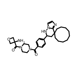 NC1(C(=O)N2CCN(C(=O)c3ccc(C4CC5(CCCCCCCCC5)c5nccn5N4)cc3)CC2)COC1